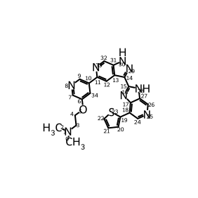 CN(C)CCOc1cncc(-c2cc3c(-c4nc5c(-c6cccs6)cncc5[nH]4)n[nH]c3cn2)c1